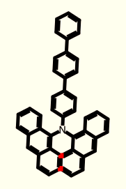 c1ccc(-c2ccc(-c3ccc(N(c4c5ccccc5cc5ccccc45)c4c5ccccc5cc5ccccc45)cc3)cc2)cc1